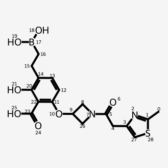 Cc1nc(CC(=O)N2CC(Oc3ccc(CCB(O)O)c(O)c3C(=O)O)C2)cs1